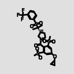 CC(C)([C@@H]1CCN(C(=O)c2c(S(C)(=O)=O)cc(OC3CC3)cc2S(C)(=O)=O)C1)S(=O)(=O)c1cccc(C(F)(F)F)c1